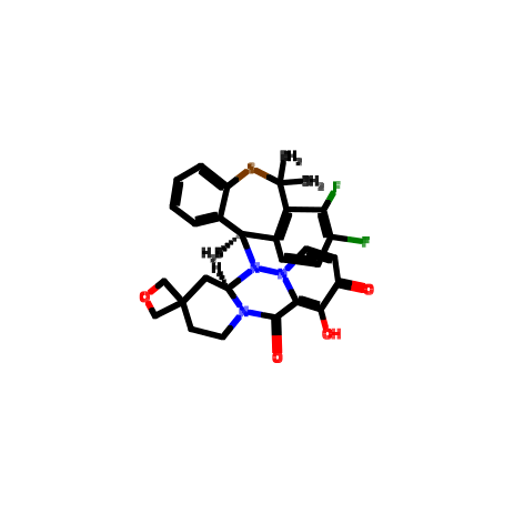 BC1(B)Sc2ccccc2[C@](B)(N2[C@@H]3CC4(CCN3C(=O)c3c(O)c(=O)ccn32)COC4)c2ccc(F)c(F)c21